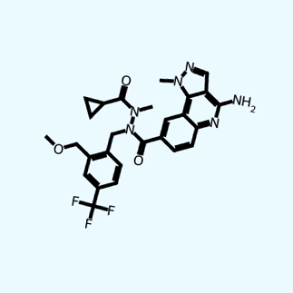 COCc1cc(C(F)(F)F)ccc1CN(C(=O)c1ccc2nc(N)c3cnn(C)c3c2c1)N(C)C(=O)C1CC1